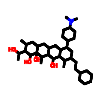 CC(O)C1C(C)CC2CC3CC4C(C5CCC(N(C)C)CC5)CC(CCC5CCCCC5)C(C)C4C(O)C3C(C)C2(O)C1O